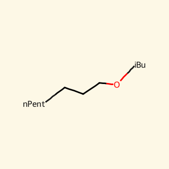 [CH2]CCCCCCCOC(C)CC